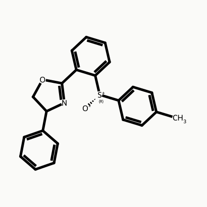 Cc1ccc([S@+]([O-])c2ccccc2C2=NC(c3ccccc3)CO2)cc1